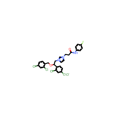 O=C(CCn1cc[n+](CC(OCc2ccc(Cl)cc2Cl)c2ccc(Cl)cc2Cl)c1)Nc1ccc(F)cc1.[Cl-]